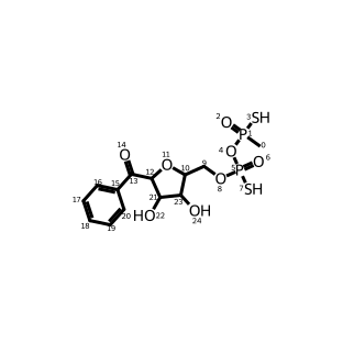 CP(=O)(S)OP(=O)(S)OCC1OC(C(=O)c2ccccc2)C(O)C1O